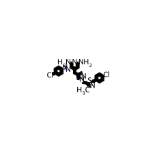 Cc1nc(-c2ccc(Cl)cc2)sc1Cn1cc(Cc2cc(N)nc(N)c2/N=N/c2ccc(Cl)cc2)cn1